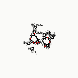 CC[C@H](C)[C@H]1O[C@]2(C=C[C@@H]1C)C[C@@H]1C[C@@H](C/C=C(\C)[C@@H](O[C@H]3C[C@H](OC)[C@@H](O[C@H]4C[C@H](OC)[C@@H](O)[C@H](C)O4)[C@H](C)O3)[C@@H](C)/C=C/C=C3\CO[C@@H]4[C@H](O)C(C)=C[C@@H](C(=O)O1)[C@]34O)O2.CO[C@H]1C[C@H](O[C@H]2[C@H](C)O[C@@H](O[C@@H]3/C(C)=C/C[C@@H]4C[C@@H](C[C@]5(C=C[C@H](C)[C@@H](C(C)C)O5)O4)OC(=O)[C@@H]4C=C(C)[C@@H](O)[C@H]5OC/C(=C\C=C\[C@@H]3C)[C@]54O)C[C@@H]2OC)O[C@@H](C)[C@@H]1O.O=[N+]([O-])/C=C1/NCCCS1